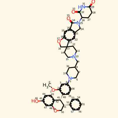 COc1cc(N2CCC(CN3CCC4(CC3)COc3cc5c(cc34)CN(C3CCC(=O)NC3=O)C5=O)CC2)ccc1[C@H]1c2ccc(O)cc2OC[C@H]1c1ccccc1